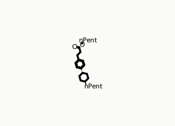 CCCCCOC(=O)CCc1ccc([C@H]2CC[C@H](CCCCC)CC2)cc1